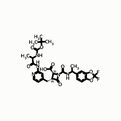 CC(NC(=O)OC(C)(C)C)C(=O)Nc1cc(C[C@H]2C(=O)N(C(=O)NC(C)c3ccc4c(c3)OC(F)(F)O4)[C@@H]2C(=O)O)ccn1